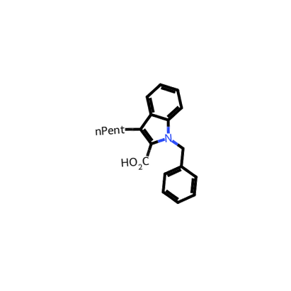 CCCCCc1c(C(=O)O)n(Cc2ccccc2)c2ccccc12